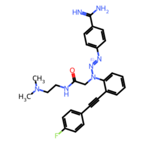 CN(C)CCNC(=O)CN(/N=N/c1ccc(C(=N)N)cc1)c1ccccc1C#Cc1ccc(F)cc1